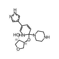 O[C@H]1COC[C@@H]1OC1(N2CCNCC2)C=CC(c2cn[nH]c2)=CN1